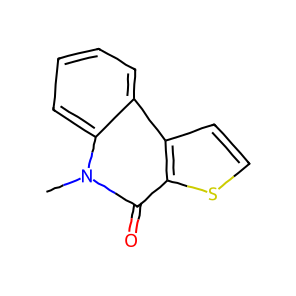 Cn1c(=O)c2sccc2c2ccccc21